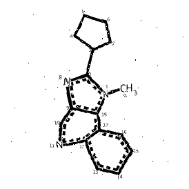 Cn1c(C2CCCC2)nc2cnc3ccccc3c21